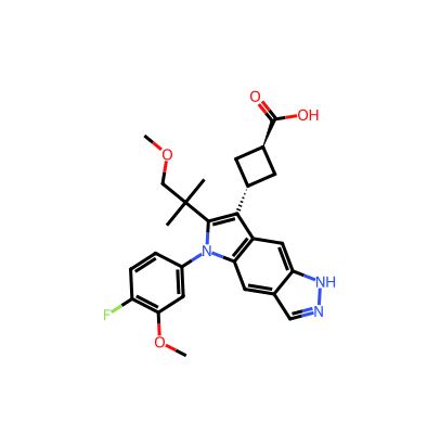 COCC(C)(C)c1c([C@H]2C[C@H](C(=O)O)C2)c2cc3[nH]ncc3cc2n1-c1ccc(F)c(OC)c1